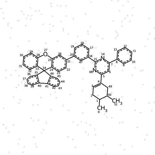 CC1CC=C(c2cc(-c3ccccc3)nc(-c3cccc(-c4ccc5c(c4)Oc4ccccc4C54c5ccccc5-c5ccccc54)c3)n2)CC1C